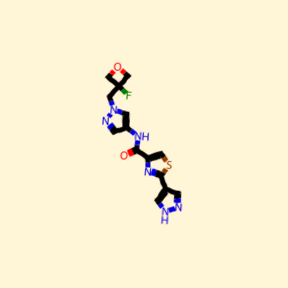 O=C(Nc1cnn(CC2(F)COC2)c1)c1csc(-c2cn[nH]c2)n1